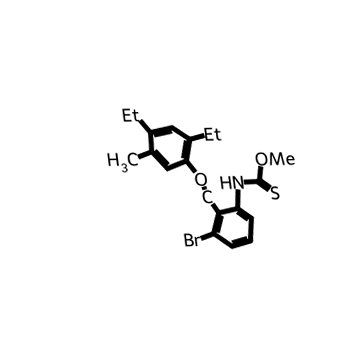 CCc1cc(CC)c(OCc2c(Br)cccc2NC(=S)OC)cc1C